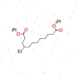 CCC(CCCCCCCC(=O)OC(C)C)CCC(=O)OC(C)C